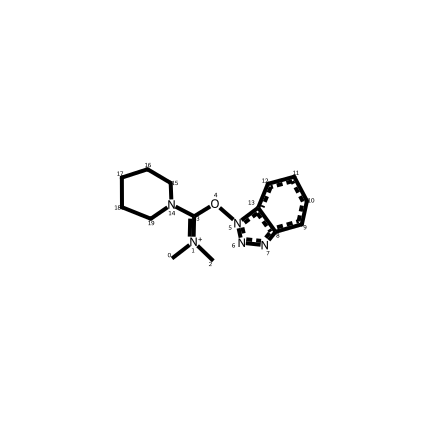 C[N+](C)=C(On1nnc2ccccc21)N1CCCCC1